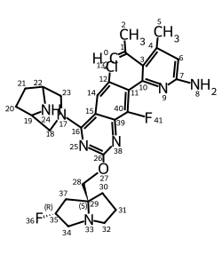 C=C(C)c1c(C)cc(N)nc1-c1c(Cl)cc2c(N3CC4CCC(C3)N4)nc(OC[C@@]34CCCN3C[C@H](F)C4)nc2c1F